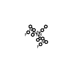 Fc1ccc(-n2c3ccccc3c3ccc4c(c5ccccc5n4-c4nc(-c5ccc(-c6ccccc6)cc5)nc(-n5c6ccccc6c6c5ccc5c7ccccc7n(-c7ccc(F)cc7)c56)n4)c32)cc1